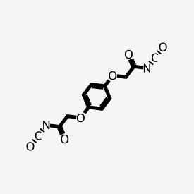 O=C=NC(=O)COc1ccc(OCC(=O)N=C=O)cc1